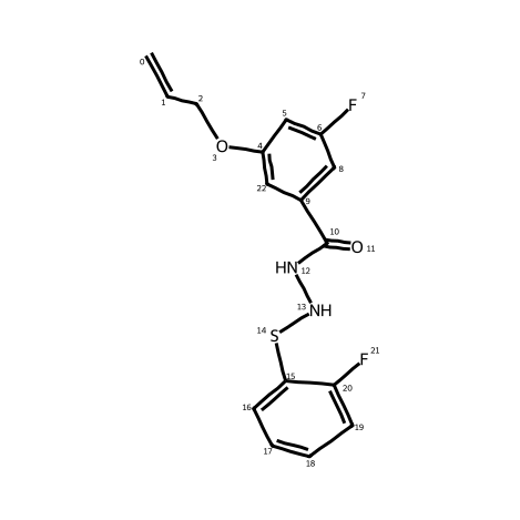 C=CCOc1cc(F)cc(C(=O)NNSc2ccccc2F)c1